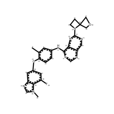 Cc1cc(Nc2ncnc3cnc(N4CCC45COC5)nc23)ccc1Oc1cc(F)c2c(c1)ncn2C